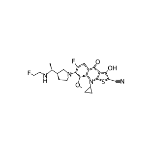 COc1c(N2CC[C@@H]([C@H](C)NCCF)C2)c(F)cc2c(=O)c3c(O)c(C#N)sc3n(C3CC3)c12